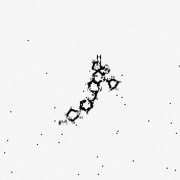 CC(C)N1CCN(c2ccc(Cc3ncc4c(n3)N(C3CCCC3)C(=O)[C@]3(CCNC3=O)C4)nc2)CC1